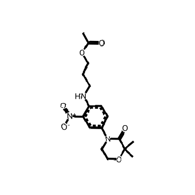 CC(=O)OCCCNc1ccc(N2CCOC(C)(C)C2=O)cc1[N+](=O)[O-]